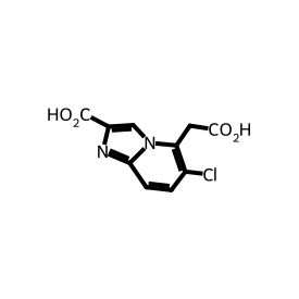 O=C(O)Cc1c(Cl)ccc2nc(C(=O)O)cn12